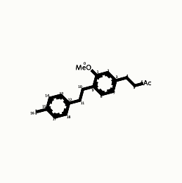 COc1cc(CCC(C)=O)ccc1CCc1ccc(I)cc1